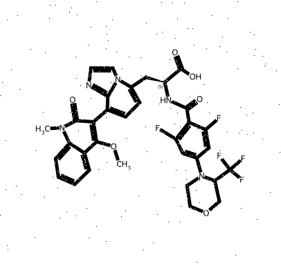 COc1c(-c2ccc(C[C@H](NC(=O)c3c(F)cc(N4CCOCC4C(F)(F)F)cc3F)C(=O)O)n3ccnc23)c(=O)n(C)c2ccccc12